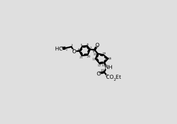 C#CCOc1ccc(C(=O)c2ccc(NC(=O)C(=O)OCC)cc2)cc1